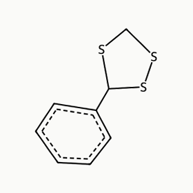 c1ccc(C2SCSS2)cc1